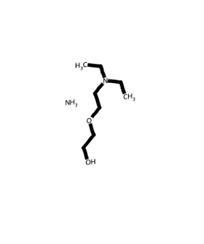 CCN(CC)CCOCCO.N